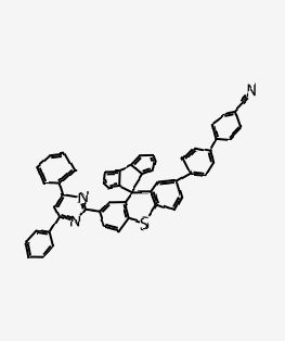 N#Cc1ccc(-c2ccc(-c3ccc4c(c3)C3(c5cc(-c6nc(-c7ccccc7)cc(-c7ccccc7)n6)ccc5S4)c4ccccc4-c4ccccc43)cc2)cc1